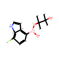 CC(C)(O)C(C)(C)OB(O)c1ccc(F)c2[nH]ccc12